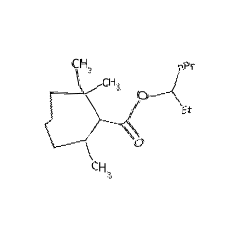 CCCC(CC)OC(=O)C1C(C)CCCC1(C)C